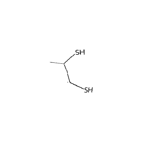 CC(S)[CH]S